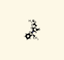 CCN1/C(=C2\SC(=S)N(CC(=O)OC)C2=O)Oc2ccccc21